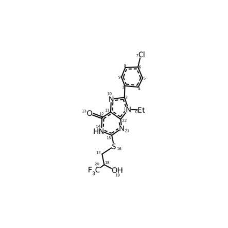 CCn1c(-c2ccc(Cl)cc2)nc2c(=O)[nH]c(SCC(O)C(F)(F)F)nc21